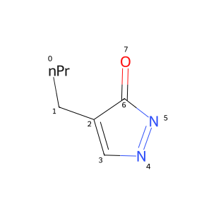 CCCCC1=CN=NC1=O